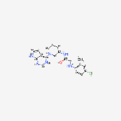 Cc1cc(Cl)ccc1NCC(=O)N[C@@H]1CCCN(c2ncnc3[nH]ccc23)C1